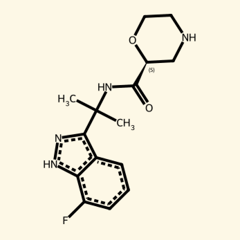 CC(C)(NC(=O)[C@@H]1CNCCO1)c1n[nH]c2c(F)cccc12